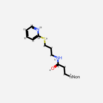 CCCCCCCCCCCC(=O)NCCCSc1ccccn1